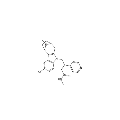 CNC(=O)CC(Cn1c2c(c3cc(Cl)ccc31)C1CCC(C2)N1C)c1ccncn1